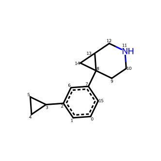 c1cc(C2CC2)cc(C23CCNCC2C3)c1